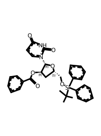 CC(C)(C)[Si](OC[C@@H]1C[C@@H](OC(=O)c2ccccc2)[C@H](n2ccc(=O)[nH]c2=O)O1)(c1ccccc1)c1ccccc1